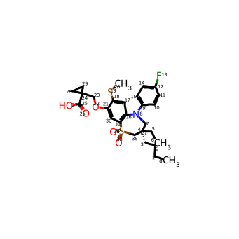 CCCC[C@@]1(CC)CN(c2ccc(F)cc2)c2cc(SC)c(OCC3(C(=O)O)CC3)cc2S(=O)(=O)C1